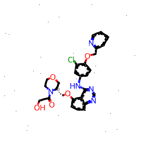 O=C(CO)N1CCOC[C@@H]1COc1cccc2ncnc(Nc3ccc(OCc4ccccn4)c(Cl)c3)c12